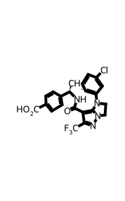 C[C@H](NC(=O)c1c(C(F)(F)F)nn2c1N(c1cccc(Cl)c1)CC2)c1ccc(C(=O)O)cc1